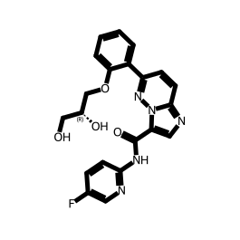 O=C(Nc1ccc(F)cn1)c1cnc2ccc(-c3ccccc3OC[C@H](O)CO)nn12